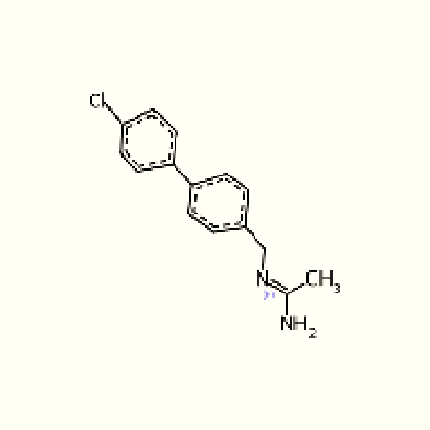 C/C(N)=N\Cc1ccc(-c2ccc(Cl)cc2)cc1